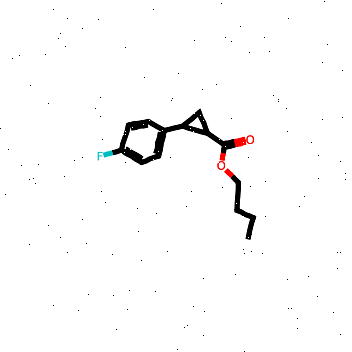 CCCCOC(=O)C1CC1c1ccc(F)cc1